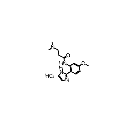 COc1ccc(-c2ncc[nH]2)c(NC(=O)CCN(C)C)c1.Cl